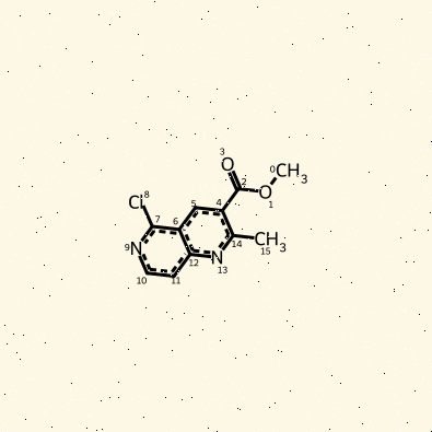 COC(=O)c1cc2c(Cl)nccc2nc1C